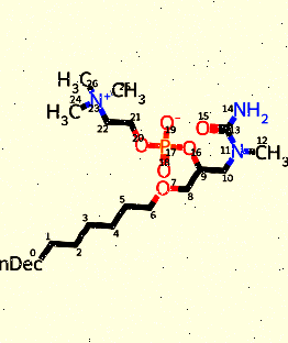 CCCCCCCCCCCCCCCCOCC(CN(C)C(N)=O)OP(=O)([O-])OCC[N+](C)(C)C